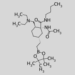 CCCCNC(=O)[C@@]1(NC(C)=O)C[C@H](CCB2OC(C)(C)C(C)(C)O2)CC[C@H]1CN(CC)CC